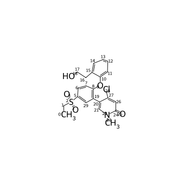 CCS(=O)(=O)c1ccc(Oc2ccccc2CCO)c(-c2cn(C)c(=O)cc2Cl)c1